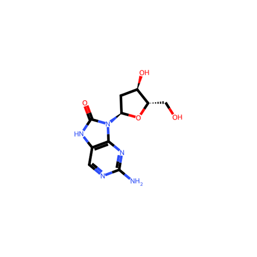 Nc1ncc2[nH]c(=O)n([C@H]3C[C@@H](O)[C@H](CO)O3)c2n1